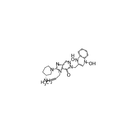 CC#CCn1c(N2CCC[C@@H](N)C2)nc2cnn(CC3=CN(O)c4ccccc4N3O)c(=O)c21